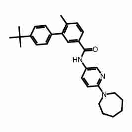 Cc1ccc(C(=O)Nc2ccc(N3CCCCCC3)nc2)cc1-c1ccc(C(C)(C)C)cc1